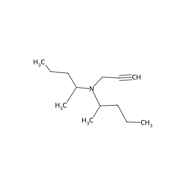 C#CCN(C(C)CCC)C(C)CCC